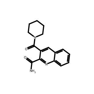 NC(=O)c1nc2c[c]ccc2cc1C(=O)N1CCCCC1